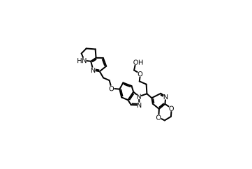 OCOCCC(c1cnc2c(c1)OCCO2)n1ncc2cc(OCCc3ccc4c(n3)NCCC4)ccc21